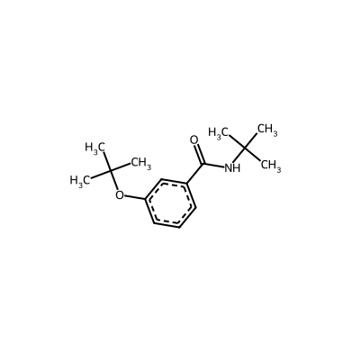 CC(C)(C)NC(=O)c1cccc(OC(C)(C)C)c1